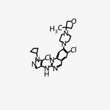 CC1(N2CCN(c3cc4nc(Nc5cnn(C6CCC6)c5Cl)ncc4cc3Cl)CC2)COC1